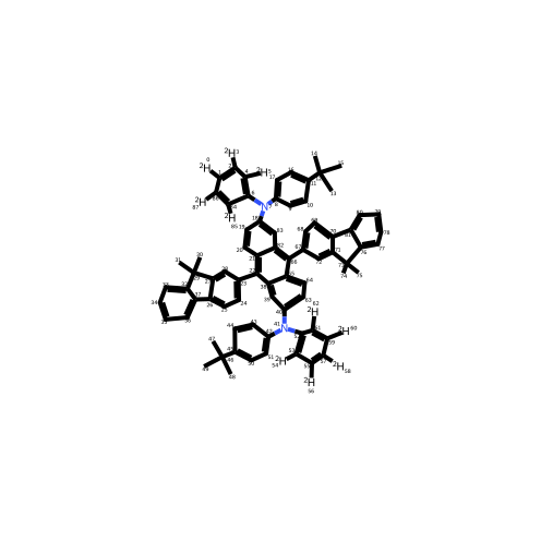 [2H]c1c([2H])c([2H])c(N(c2ccc(C(C)(C)C)cc2)c2ccc3c(-c4ccc5c(c4)C(C)(C)c4ccccc4-5)c4cc(N(c5ccc(C(C)(C)C)cc5)c5c([2H])c([2H])c([2H])c([2H])c5[2H])ccc4c(-c4ccc5c(c4)C(C)(C)c4ccccc4-5)c3c2)c([2H])c1[2H]